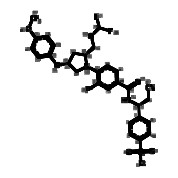 CCS(=O)(=O)c1ccc([C@H](CC#N)NC(=O)c2ccc(N3C[C@@H](Oc4ccc(OC(F)(F)F)cc4)C[C@H]3COC(F)F)c(F)c2)cc1